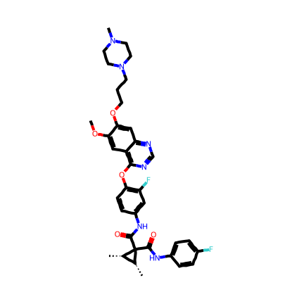 COc1cc2c(Oc3ccc(NC(=O)C4(C(=O)Nc5ccc(F)cc5)[C@H](C)[C@@H]4C)cc3F)ncnc2cc1OCCCN1CCN(C)CC1